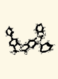 O=c1c2ccc(-c3ccccc3)cc2n2c3cc4c(cc3c(=O)n12)n(-c1ccccc1)c1nc2ccccc2n41